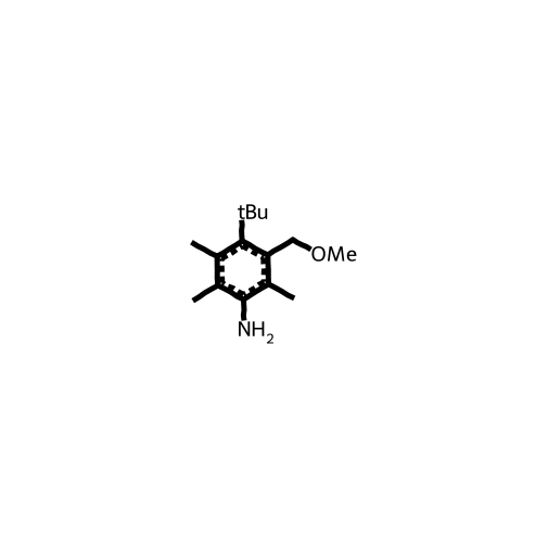 COCc1c(C)c(N)c(C)c(C)c1C(C)(C)C